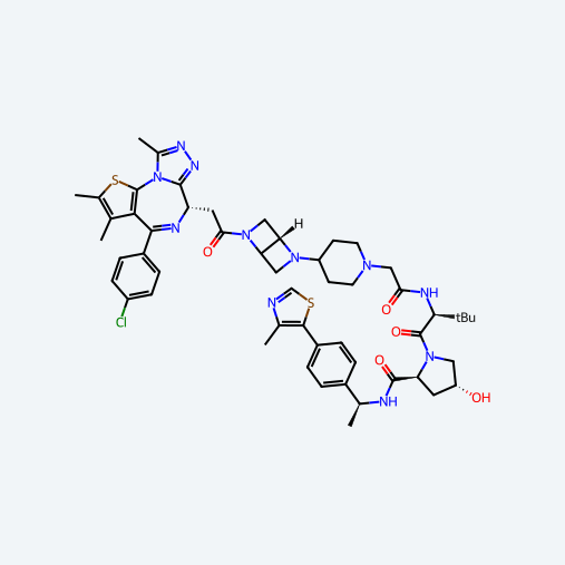 Cc1ncsc1-c1ccc([C@H](C)NC(=O)[C@@H]2C[C@@H](O)CN2C(=O)[C@@H](NC(=O)CN2CCC(N3CC4[C@@H]3CN4C(=O)C[C@@H]3N=C(c4ccc(Cl)cc4)c4c(sc(C)c4C)-n4c(C)nnc43)CC2)C(C)(C)C)cc1